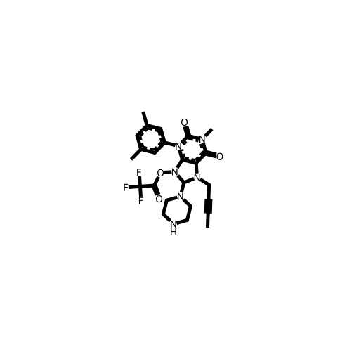 CC#CCN1c2c(n(-c3cc(C)cc(C)c3)c(=O)n(C)c2=O)N(OC(=O)C(F)(F)F)C1N1CCNCC1